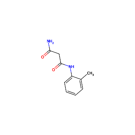 Cc1ccccc1NC(=O)CC(N)=O